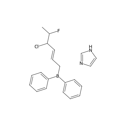 CC(F)C(Cl)C=CCB(c1ccccc1)c1ccccc1.c1c[nH]cn1